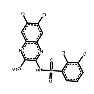 COc1nc2cc(Cl)c(Cl)cc2nc1NS(=O)(=O)c1cccc(Cl)c1Cl